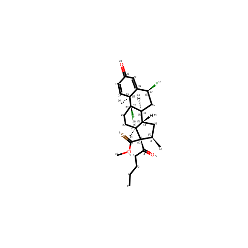 CCCCC(=O)[C@]1(C(=S)OC)[C@H](C)C[C@H]2[C@@H]3C[C@H](F)C4=CC(=O)C=C[C@]4(C)[C@@]3(F)CC[C@@]21C